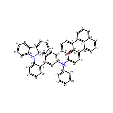 c1ccc(-c2cccc3cccc(-c4ccc(N(c5ccccc5)c5cccc(-c6ccccc6-n6c7ccccc7c7ccccc76)c5)cc4)c23)cc1